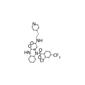 O=C(C[C@@H]1C(=O)Nc2ccccc2N1S(=O)(=O)c1ccc(C(F)(F)F)cc1Cl)NCCc1ccncc1